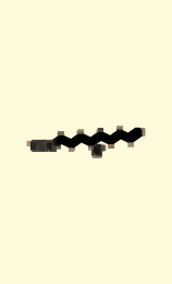 C=CCCCCCCCC(=O)[O-].[K+]